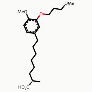 COCCCOc1cc(CCCCCC[C@@H](C)C(=O)O)ccc1OC